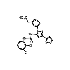 O=C(O)Cc1cccc(-n2nc(-c3cccs3)cc2NC(=O)Nc2cccc(Cl)c2Cl)c1